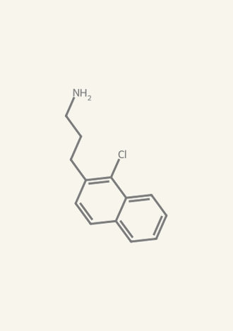 NCCCc1ccc2ccccc2c1Cl